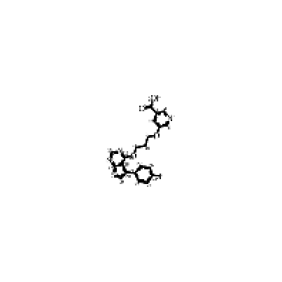 O=C(O)c1cncc(OCCCOc2ncnc3scc(-c4ccc(F)cc4)c23)c1